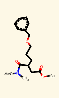 CON(C)C(=O)C(CCCOCc1ccccc1)CC(=O)OC(C)(C)C